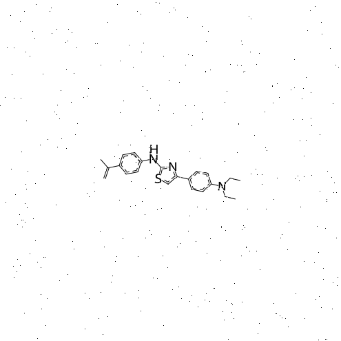 C=C(C)c1ccc(Nc2nc(-c3ccc(N(CC)CC)cc3)cs2)cc1